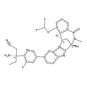 CC[C@@](N)(CC#N)c1ncc(-c2ccc3nc4n(c3c2)[C@@H]2C[C@@H]4N(C)C(=O)c3cccc(OC(F)F)c32)cc1F